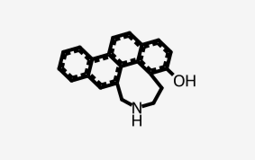 Oc1ccc2ccc3c4ccccc4cc4c3c2c1CCNC4